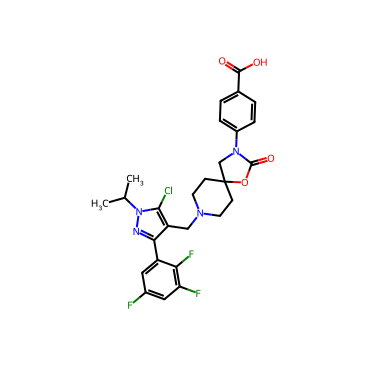 CC(C)n1nc(-c2cc(F)cc(F)c2F)c(CN2CCC3(CC2)CN(c2ccc(C(=O)O)cc2)C(=O)O3)c1Cl